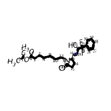 CC(C)OC(=O)CCCCCCN1C(=O)CC[C@@H]1/C=C/[C@@H](O)C(F)(F)c1ccccc1